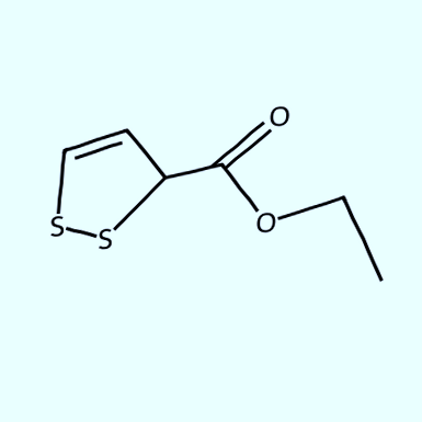 CCOC(=O)C1C=CSS1